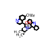 C=C[C@H]1C[N@@+](CC)(Cc2c3ccccc3nc3ccccc23)[C@H]([C@H](O)c2ccnc3ccc(OC)cc23)C[C@@H]1C